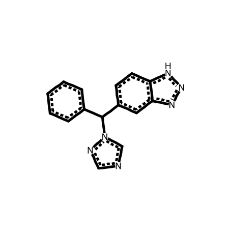 c1ccc(C(c2ccc3[nH]nnc3c2)n2cncn2)cc1